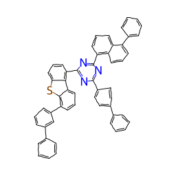 c1ccc(-c2ccc(-c3nc(-c4cccc5c(-c6ccccc6)cccc45)nc(-c4cccc5sc6c(-c7cccc(-c8ccccc8)c7)cccc6c45)n3)cc2)cc1